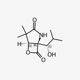 CC(C)[C@H](O)[C@@]12NC(=O)C(C)(C)[C@@H]1OC2=O